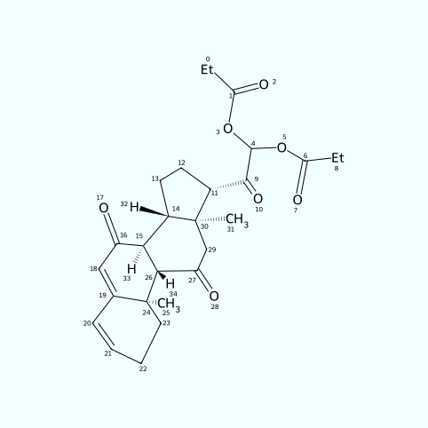 CCC(=O)OC(OC(=O)CC)C(=O)[C@H]1CC[C@H]2[C@@H]3C(=O)C=C4C=CCC[C@]4(C)[C@H]3C(=O)C[C@]12C